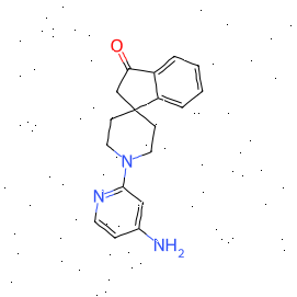 Nc1ccnc(N2CCC3(CC2)CC(=O)c2ccccc23)c1